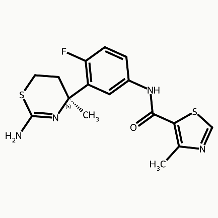 Cc1ncsc1C(=O)Nc1ccc(F)c([C@]2(C)CCSC(N)=N2)c1